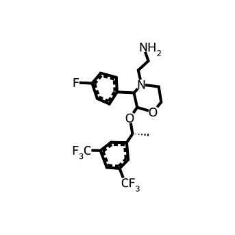 C[C@@H](OC1OCCN(CCN)C1c1ccc(F)cc1)c1cc(C(F)(F)F)cc(C(F)(F)F)c1